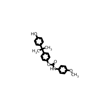 COc1ccc(NC(=O)Oc2ccc(C(C)(C)c3ccc(O)cc3)cc2)cc1